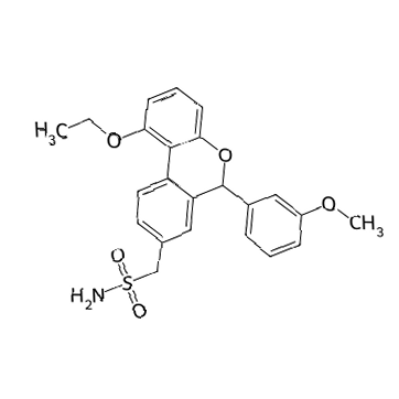 CCOc1cccc2c1-c1ccc(CS(N)(=O)=O)cc1C(c1cccc(OC)c1)O2